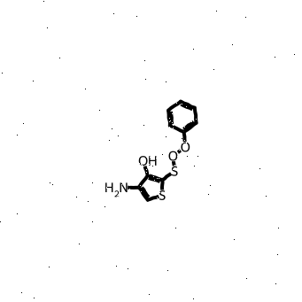 Nc1csc(SOOc2ccccc2)c1O